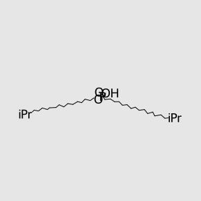 CC(C)CCCCCCCCCCCCCCCOP(=O)(O)CCCCCCCCCCCCCCCC(C)C